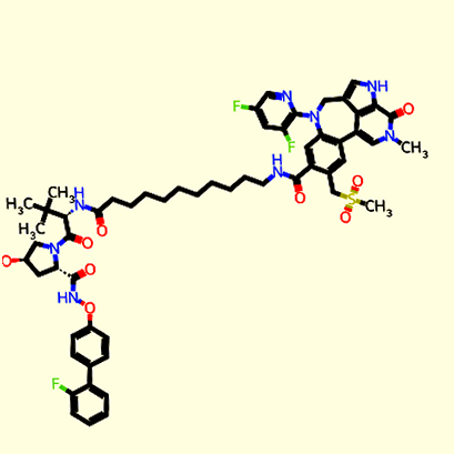 Cn1cc2c3c(c[nH]c3c1=O)CN(c1ncc(F)cc1F)c1cc(C(=O)NCCCCCCCCCCC(=O)N[C@H](C(=O)N3C[C@H](O)C[C@H]3C(=O)NOc3ccc(-c4ccccc4F)cc3)C(C)(C)C)c(CS(C)(=O)=O)cc1-2